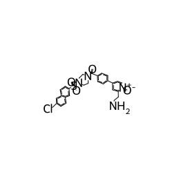 NCCc1cc(-c2ccc(C(=O)N3CCN(S(=O)(=O)c4ccc5cc(Cl)ccc5c4)CC3)cc2)cc[n+]1[O-]